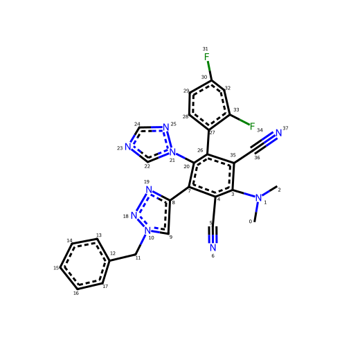 CN(C)c1c(C#N)c(-c2cn(Cc3ccccc3)nn2)c(-n2cncn2)c(-c2ccc(F)cc2F)c1C#N